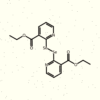 CCOC(=O)c1cccnc1[Se][Se]c1ncccc1C(=O)OCC